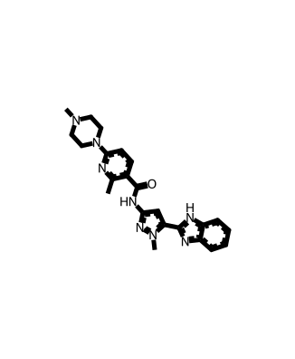 Cc1nc(N2CCN(C)CC2)ccc1C(=O)Nc1cc(-c2nc3ccccc3[nH]2)n(C)n1